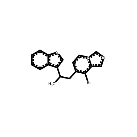 CCc1c(CC(C)c2csc3ccccc23)ccn2cncc12